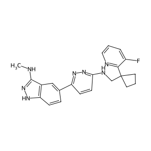 CNc1n[nH]c2ccc(-c3ccc(NCC4(c5ncccc5F)CCC4)nn3)cc12